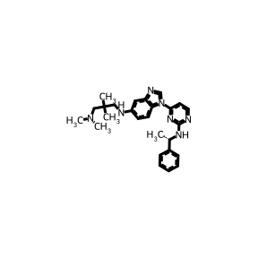 C[C@H](Nc1nccc(-n2cnc3cc(NCC(C)(C)CN(C)C)ccc32)n1)c1ccccc1